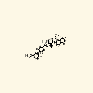 Cc1cc(-c2ccc(CN/C(N)=C(\F)C(=N)N3CCc4ccccc4C3C)cc2)ccn1